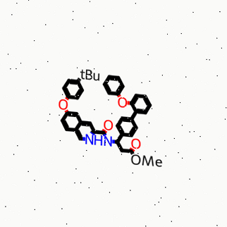 COC(=O)CC(NC(=O)c1cc2cc(Oc3ccc(C(C)(C)C)cc3)ccc2cn1)c1ccc(-c2ccccc2Oc2ccccc2)cc1